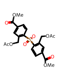 COC(=O)c1ccc(S(=O)(=O)c2ccc(C(=O)OC)cc2COC(C)=O)c(COC(C)=O)c1